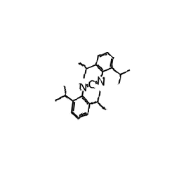 CC(C)c1cccc(C(C)C)c1N=C=Nc1c(C(C)C)cccc1C(C)C